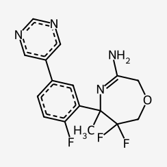 CC1(c2cc(-c3cncnc3)ccc2F)N=C(N)COCC1(F)F